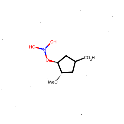 CO[C@H]1CC(C(=O)O)C[C@@H]1ON(O)O